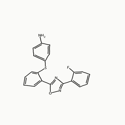 Nc1ccc(Sc2ccccc2-c2nc(-c3ccccc3F)no2)cc1